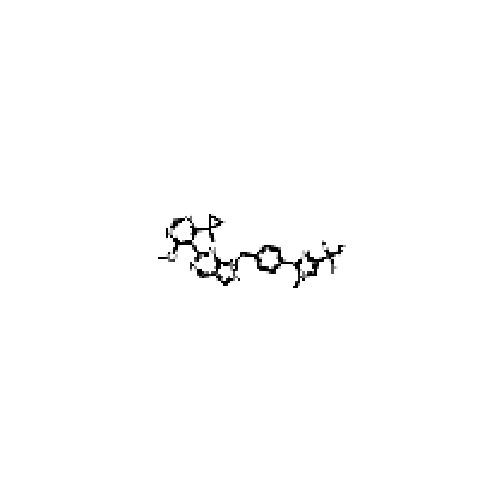 COc1ncnc(C2(C)CC2)c1-c1ncc2cnn(Cc3ccc(-c4nc(C(F)(F)F)cn4C)cc3)c2n1